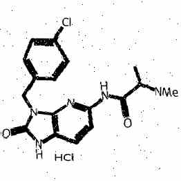 CNC(C)C(=O)Nc1ccc2[nH]c(=O)n(Cc3ccc(Cl)cc3)c2n1.Cl